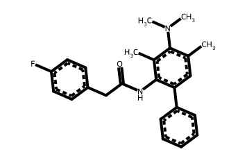 Cc1cc(-c2ccccc2)c(NC(=O)Cc2ccc(F)cc2)c(C)c1N(C)C